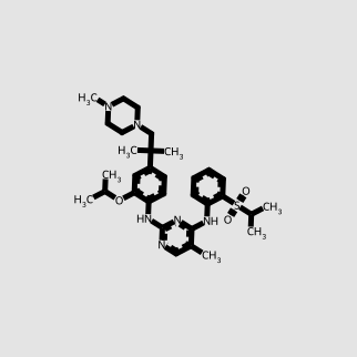 Cc1cnc(Nc2ccc(C(C)(C)CN3CCN(C)CC3)cc2OC(C)C)nc1Nc1ccccc1S(=O)(=O)C(C)C